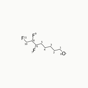 [O]CCCCCC(F)C(F)CF